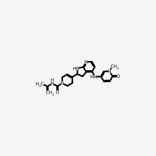 C=C(C)NC(=O)N1CC=C(C2Cc3c(Nc4ccc(=O)n(C)c4)ccnc3N2)CC1